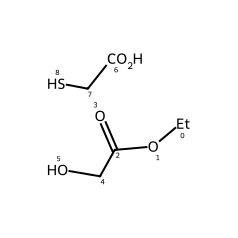 CCOC(=O)CO.O=C(O)CS